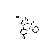 CC(C)(C)[S@+]([O-])N[C@@H](c1ccc(Cl)cc1)[C@@H](F)S(=O)(=O)c1ccccc1